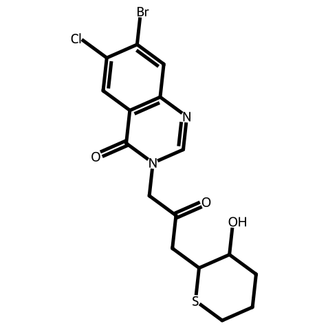 O=C(CC1SCCCC1O)Cn1cnc2cc(Br)c(Cl)cc2c1=O